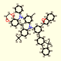 Cc1cc2c3c(c1)N(c1ccccc1)c1c(ccc4c1OCCO4)B3c1cc(C(C)(C)C)ccc1N2c1cc(-c2ccc3c(c2)C(C)(C)c2ccccc2-3)cc(-c2cc3ccccc3o2)c1